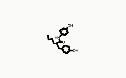 CCCC[C@H](Cc1ccc(O)cc1)C(=O)Nc1ccc(O)cc1